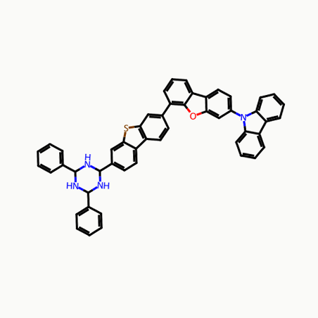 c1ccc(C2NC(c3ccccc3)NC(c3ccc4c(c3)sc3cc(-c5cccc6c5oc5cc(-n7c8ccccc8c8ccccc87)ccc56)ccc34)N2)cc1